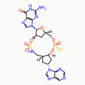 Nc1nc2c(ncn2[C@H]2O[C@@H]3CO[P@@](=O)(S)O[C@H]4C[C@H](n5cnc6cncnc65)C[C@@H]4CNS(=O)(=O)O[C@@H]2C3)c(=O)[nH]1